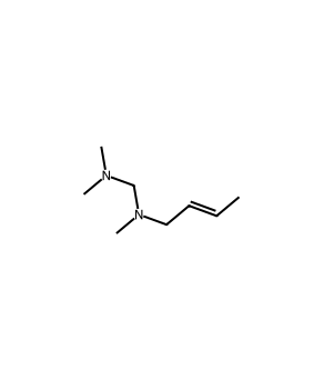 C/C=C/CN(C)CN(C)C